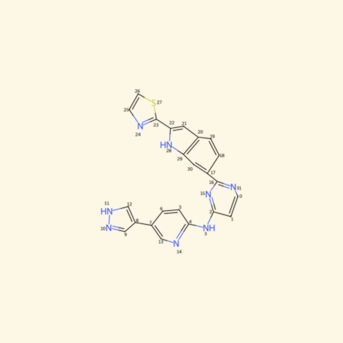 c1cc(Nc2ccc(-c3cn[nH]c3)cn2)nc(-c2ccc3cc(-c4nccs4)[nH]c3c2)n1